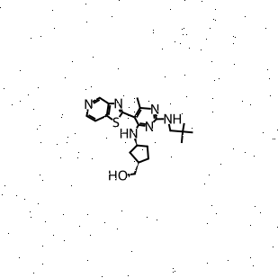 Cc1nc(NCC(C)(C)C)nc(N[C@H]2CC[C@@H](CO)C2)c1-c1nc2cnccc2s1